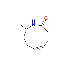 CC1CC/C=C\CCC(=O)N1